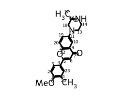 COc1ccc(-c2cc(=O)c3cc(N4CCN[C@H](C)C4)ccc3o2)cc1C